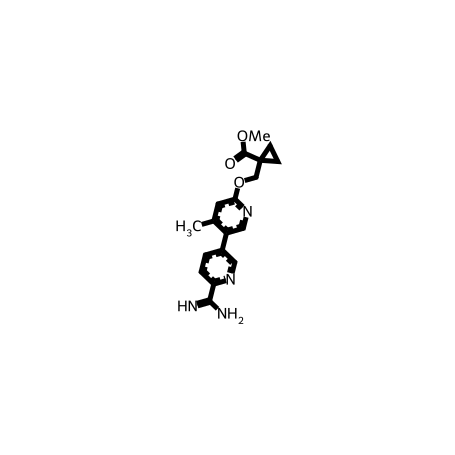 COC(=O)C1(COc2cc(C)c(-c3ccc(C(=N)N)nc3)cn2)CC1